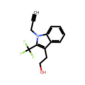 C#CCn1c(C(F)(F)F)c(CCO)c2ccccc21